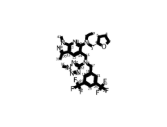 CCN(C[C@@H]1CCCO1)c1nc2c(cc1CN(Cc1cc(C(F)(F)F)cc(C(F)(F)F)c1)c1nnn(C)n1)c(C)nn2C